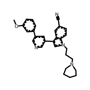 COc1cccc(-c2cncc(-c3cn(CCCN4CCCCC4)c4ccc(C#N)cc34)c2)c1